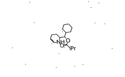 CC(C)C(=O)OC(C1CCCCC1)C1CCC=CN1